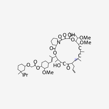 C=CCC1/C=C(\C)CC(C)CC(OC)C2OC(O)(C(=O)C(=O)N3CCCCC3C(=O)OC(C(C)=CC3CCC(OC(=O)COC4CCCC(C)(C(C)C)C4)C(OC)C3)C(C)C(O)CC1=O)C(C)CC2OC